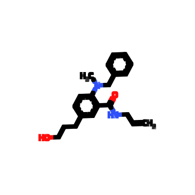 C=CCNC(=O)c1cc(CCCO)ccc1N(C)Cc1ccccc1